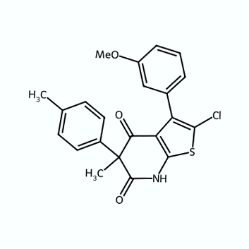 COc1cccc(-c2c(Cl)sc3c2C(=O)C(C)(c2ccc(C)cc2)C(=O)N3)c1